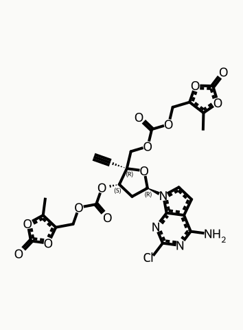 C#C[C@]1(COC(=O)OCc2oc(=O)oc2C)O[C@@H](n2ccc3c(N)nc(Cl)nc32)C[C@@H]1OC(=O)OCc1oc(=O)oc1C